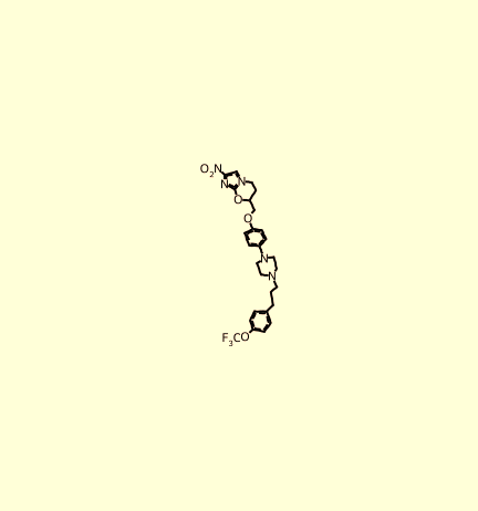 O=[N+]([O-])c1cn2c(n1)OC(COc1ccc(N3CCN(CCCc4ccc(OC(F)(F)F)cc4)CC3)cc1)CC2